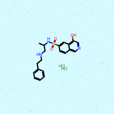 CC(CNCCc1ccccc1)NS(=O)(=O)c1ccc2cncc(O)c2c1.Cl.Cl